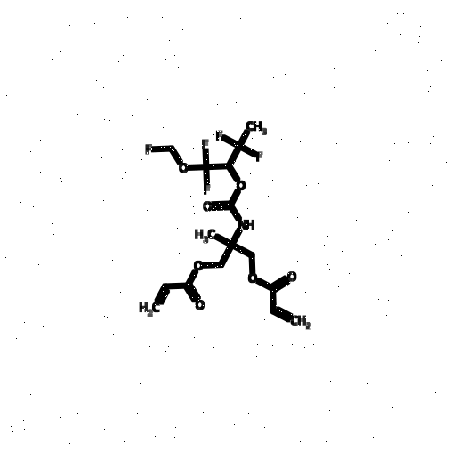 C=CC(=O)OCC(C)(COC(=O)C=C)NC(=O)OC(C(C)(F)F)C(F)(F)OCF